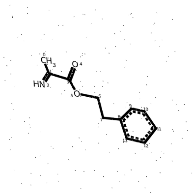 CC(=N)C(=O)OCCc1ccccc1